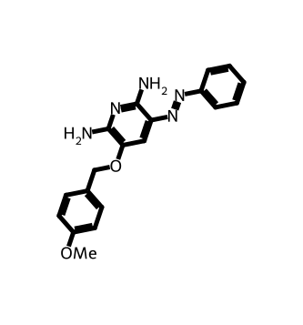 COc1ccc(COc2cc(/N=N/c3ccccc3)c(N)nc2N)cc1